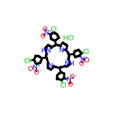 Cl.O=[N+]([O-])c1cc(-c2c3nc(c(-c4ccc(Cl)c([N+](=O)[O-])c4)c4ccc([nH]4)c(-c4ccc(Cl)c([N+](=O)[O-])c4)c4nc(c(-c5ccc(Cl)c([N+](=O)[O-])c5)c5ccc2[nH]5)C=C4)C=C3)ccc1Cl